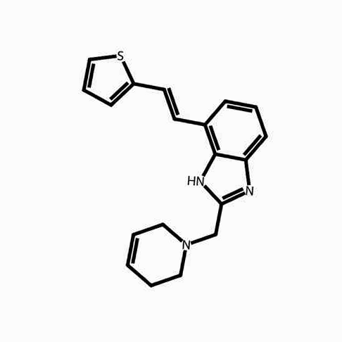 C1=CCN(Cc2nc3cccc(C=Cc4cccs4)c3[nH]2)CC1